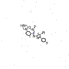 Cc1ccc(N2CCNCC2)cc1/C(=C\N(C=O)C1CC1)N(C)c1nc(-c2ccc(F)cc2)c(C#N)s1